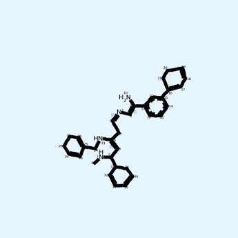 CNC(/C=C(/C/C=N\C=C(/N)c1cccc(C2=CC=CCC2)c1)NCC1=CCCC=C1)C1C=CC=CC1